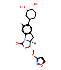 O=C1O[C@@H](COc2ccon2)[C@@H]2Cc3cc(C4CC[C@@H](O)[C@@H](O)C4)c(F)cc3N12